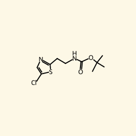 CC(C)(C)OC(=O)NCCc1ncc(Cl)s1